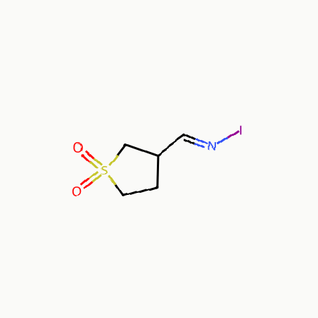 O=S1(=O)CCC(/C=N/I)C1